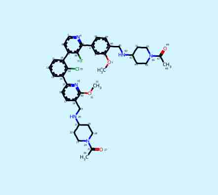 COc1cc(-c2nccc(-c3cccc(-c4ccc(CNC5CCN(C(C)=O)CC5)c(OC)n4)c3Cl)c2F)ccc1CNC1CCN(C(C)=O)CC1